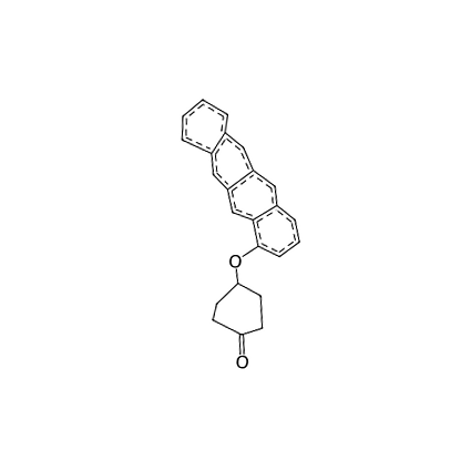 O=C1CCC(Oc2cccc3cc4cc5ccccc5cc4cc23)CC1